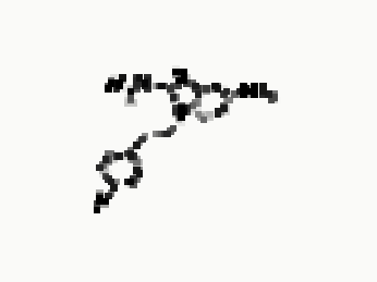 Nc1ccc2c(c1)nc(N)n2CCc1ccc(F)cc1